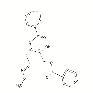 CON=CC[C@H](OC(=O)c1ccccc1)[C@H](O)COC(=O)c1ccccc1